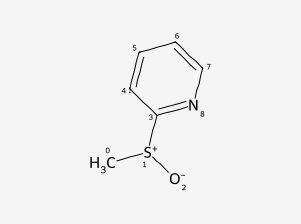 C[S+]([O-])c1[c]cccn1